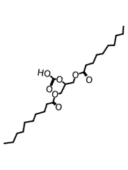 CCCCCCCCCC(=O)OCC(COC(=O)CCCCCCCCC)OC(=O)O